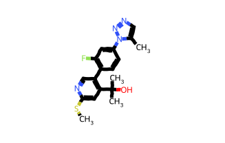 CSc1cc(C(C)(C)O)c(-c2ccc(-n3nncc3C)cc2F)cn1